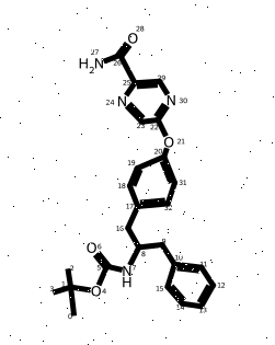 CC(C)(C)OC(=O)NC(Cc1ccccc1)Cc1ccc(Oc2cnc(C(N)=O)cn2)cc1